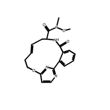 CON(C)C(=O)C1C/C=C/CCOc2ccnc(n2)-c2ccccc2C(=O)N1